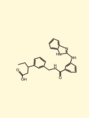 CCC(CC(=O)O)c1cccc(CNC(=O)c2cccc(Nc3nc4ccccc4[nH]3)c2)c1